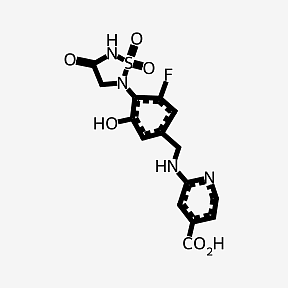 O=C1CN(c2c(O)cc(CNc3cc(C(=O)O)ccn3)cc2F)S(=O)(=O)N1